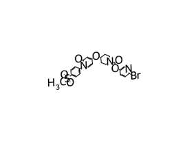 CS(=O)(=O)c1ccc(-n2ccc(OC3CCN(C(=O)Oc4ccc(Br)nc4)CC3)cc2=O)cc1